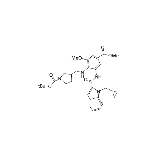 COC(=O)c1cc(NC(=O)c2cc3cccnc3n2CC2CC2)c(NCC2CCN(C(=O)OC(C)(C)C)C2)c(OC)c1